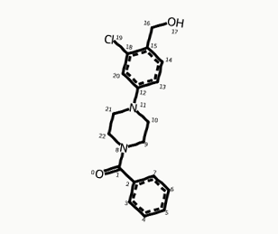 O=C(c1ccccc1)N1CCN(c2ccc(CO)c(Cl)c2)CC1